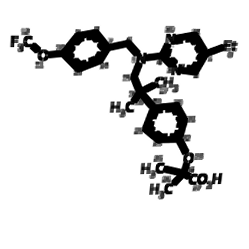 CCc1cnc(N(Cc2ccc(OC(F)(F)F)cc2)CC(C)(C)c2ccc(OC(C)(C)C(=O)O)cc2)nc1